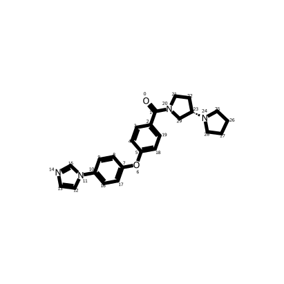 O=C(c1ccc(Oc2ccc(-n3ccnc3)cc2)cc1)N1CC[C@H](N2CCCC2)C1